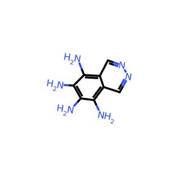 Nc1c(N)c(N)c2cnncc2c1N